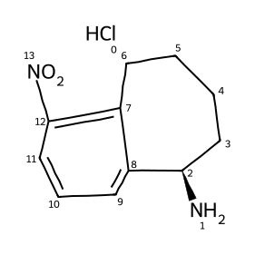 Cl.N[C@@H]1CCCCc2c1cccc2[N+](=O)[O-]